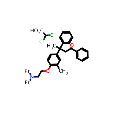 CCN(CC)CCOc1ccc(C(C)(CC(=O)c2ccccc2)c2ccccc2)cc1C.O=C(O)C(Cl)Cl